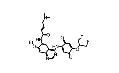 CCOc1cc2ncnc(NC3=CC(=O)C(OC(CF)CF)=CC3=O)c2cc1NC(=O)C=CCN(C)C